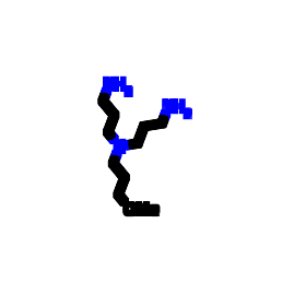 COCCCN(CCCN)CCCN